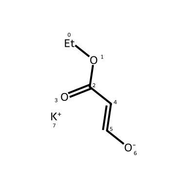 CCOC(=O)C=C[O-].[K+]